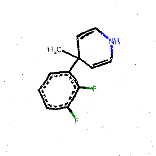 CC1(c2cccc(F)c2F)C=CNC=C1